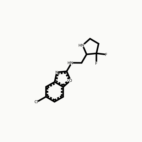 FC1(F)CCNC1CNc1nc2cc(Cl)ccc2o1